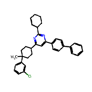 CC1(c2cccc(Cl)c2)CCC(c2cc(-c3ccc(-c4ccccc4)cc3)nc(C3CCCCC3)n2)CC1